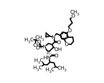 COCCCOc1cc(CN(C(=O)C2CN(C(=O)OC(C)(C)C)C[C@@H](C(=O)NC(CC(C)C)CC(C)C)C2O)C2CC2)cc2c1CCCO2